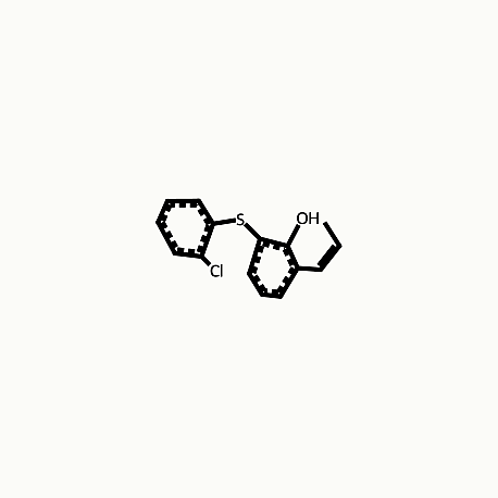 C/C=C\c1cccc(Sc2ccccc2Cl)c1O